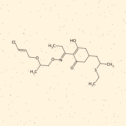 CCSC(C)CC1CC(=O)C(C(CC)=NOCC(C)OCC=CCl)=C(O)C1